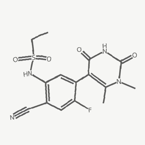 CCS(=O)(=O)Nc1cc(-c2c(C)n(C)c(=O)[nH]c2=O)c(F)cc1C#N